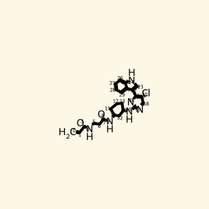 C=CC(=O)NCCC(=O)NC1CCC[C@@H](Nc2ncc(Cl)c(-c3c[nH]c4ccccc34)n2)C1